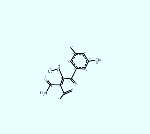 C=C(C)/C(C(N)=O)=C(/NCC)C(=O)c1cc(C)cc(C#N)c1